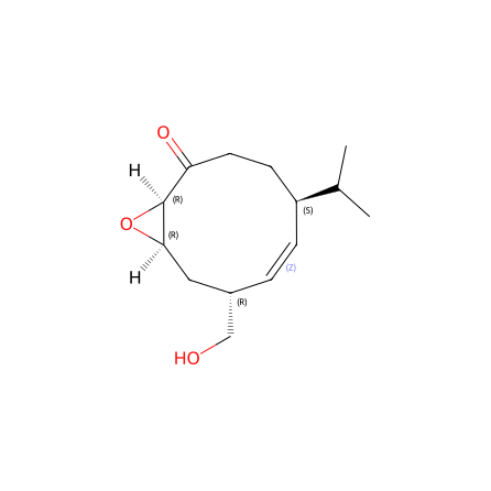 CC(C)[C@H]1/C=C\[C@H](CO)C[C@H]2O[C@H]2C(=O)CC1